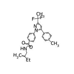 C=C(CC)CNS(=O)(=O)c1ccc(-n2nc(C(C)(F)F)cc2-c2ccc(C)cc2)cc1